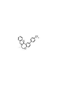 C[C@H]1COc2ccc(-c3ccc(C(F)(F)F)cc3)cc2C(=O)N1Cc1ccccc1